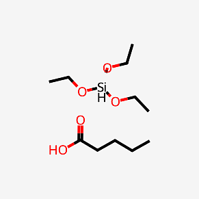 CCCCC(=O)O.CCO[SiH](OCC)OCC